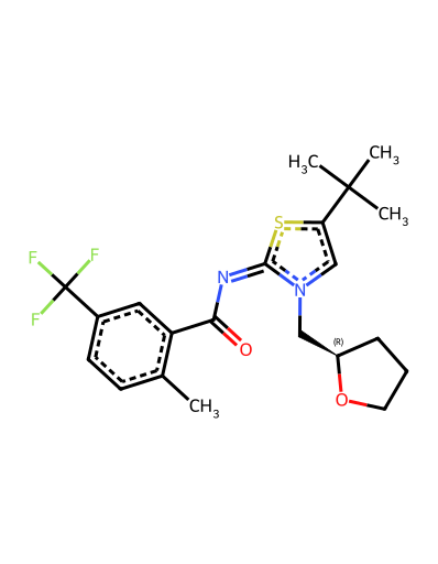 Cc1ccc(C(F)(F)F)cc1C(=O)N=c1sc(C(C)(C)C)cn1C[C@H]1CCCO1